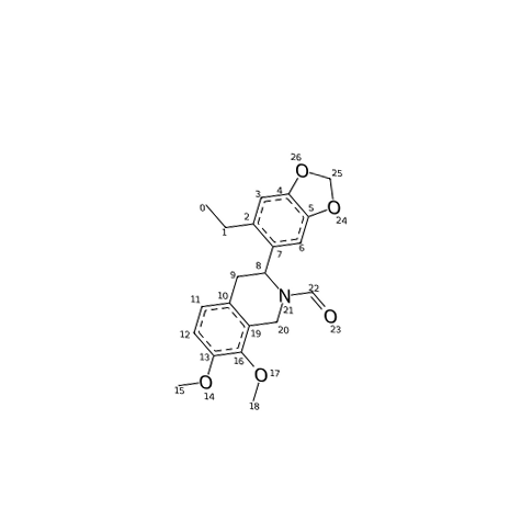 CCc1cc2c(cc1C1Cc3ccc(OC)c(OC)c3CN1C=O)OCO2